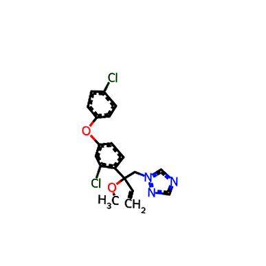 C=CC(Cn1cncn1)(OC)c1ccc(Oc2ccc(Cl)cc2)cc1Cl